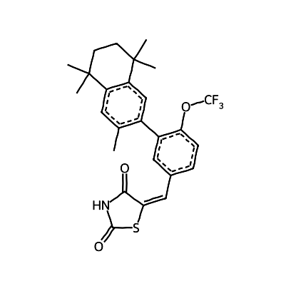 Cc1cc2c(cc1-c1cc(C=C3SC(=O)NC3=O)ccc1OC(F)(F)F)C(C)(C)CCC2(C)C